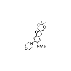 CNc1cc2c(cc1N1CCOCC1)OC1(COC(C)(C)OC1)C2